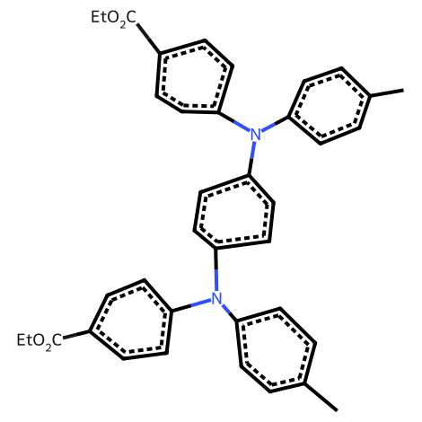 CCOC(=O)c1ccc(N(c2ccc(C)cc2)c2ccc(N(c3ccc(C)cc3)c3ccc(C(=O)OCC)cc3)cc2)cc1